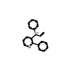 C=C[C@H](c1ccccc1)c1cccnc1-c1ccccc1